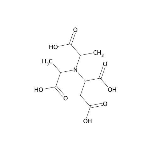 CC(C(=O)O)N(C(C)C(=O)O)C(CC(=O)O)C(=O)O